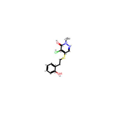 CC(C)(C)n1ncc(SCCc2ccccc2O)c(Cl)c1=O